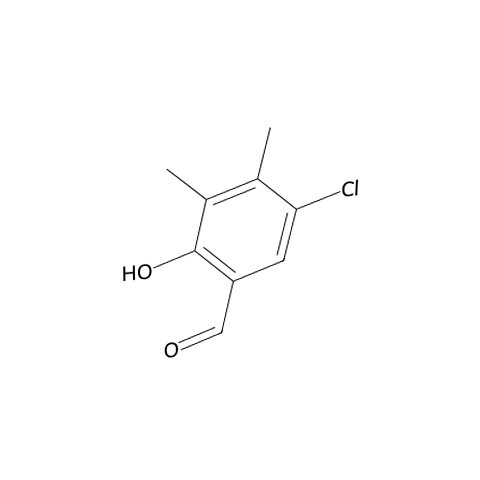 Cc1c(Cl)cc(C=O)c(O)c1C